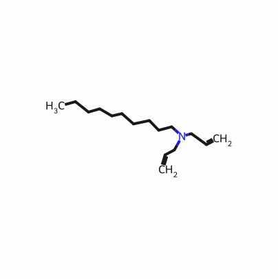 C=CCN(CC=C)CCCCCCCCCC